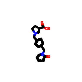 O=C(O)C1CCN(Cc2ccc(Cn3ccccc3=O)cc2)C1